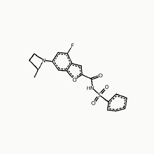 CC1CCN1c1cc(F)c2cc(C(=O)NS(=O)(=O)c3ccccc3)oc2c1